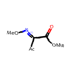 CO/N=C(\C(C)=O)C(=O)OC